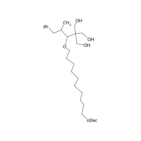 CCCCCCCCCCCCCCCCCCCCOC(C(C)CC(C)C)C(CO)(CO)CO